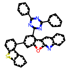 c1ccc(-c2nc(-c3ccccc3)nc(-c3cc(-c4cccc5sc6ccccc6c45)cc4oc5nc6ccccc6cc5c34)n2)cc1